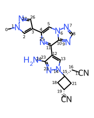 Cn1cc(-c2cn3ncnc3c(-c3cn([C@]4(CC#N)C[C@@H](C#N)C4)nc3N)n2)cn1